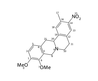 COc1ccc2c(c1OC)CN1CCc3cc([N+](=O)[O-])c(C)cc3C1C2